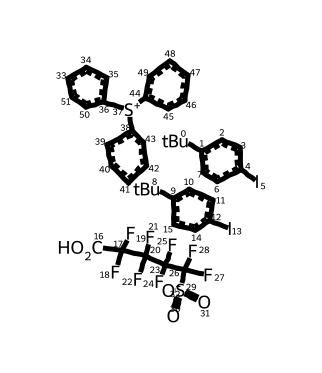 CC(C)(C)c1ccc(I)cc1.CC(C)(C)c1ccc(I)cc1.O=C(O)C(F)(F)C(F)(F)C(F)(F)C(F)(F)S(=O)(=O)[O-].c1ccc([S+](c2ccccc2)c2ccccc2)cc1